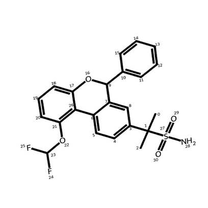 CC(C)(c1ccc2c(c1)C(c1ccccc1)Oc1cccc(OC(F)F)c1-2)S(N)(=O)=O